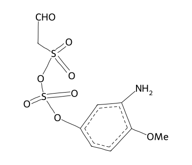 COc1ccc(OS(=O)(=O)OS(=O)(=O)CC=O)cc1N